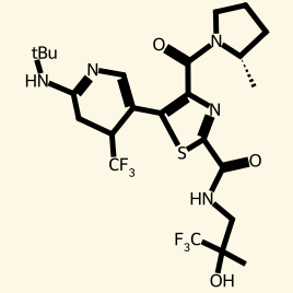 C[C@H]1CCCN1C(=O)c1nc(C(=O)NCC(C)(O)C(F)(F)F)sc1C1=CN=C(NC(C)(C)C)CC1C(F)(F)F